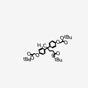 CC(C)(C)OC(=O)CCC(C)(c1ccc(OCC(=O)OC(C)(C)C)cc1)c1ccc(OCC(=O)OC(C)(C)C)cc1